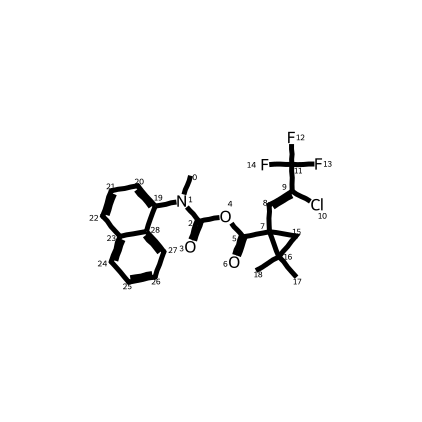 CN(C(=O)OC(=O)C1(C=C(Cl)C(F)(F)F)CC1(C)C)c1cccc2ccccc12